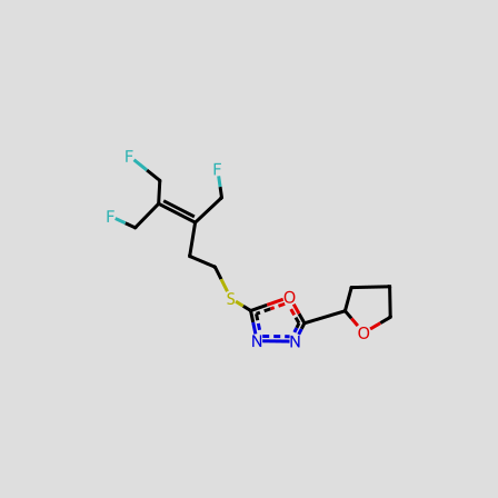 FCC(CF)=C(CF)CCSc1nnc(C2CCCO2)o1